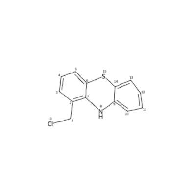 ClCc1cccc2c1Nc1ccccc1S2